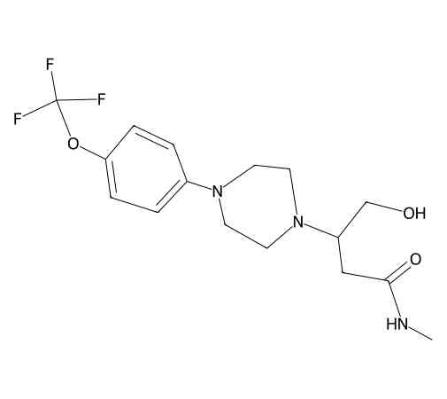 CNC(=O)CC(CO)N1CCN(c2ccc(OC(F)(F)F)cc2)CC1